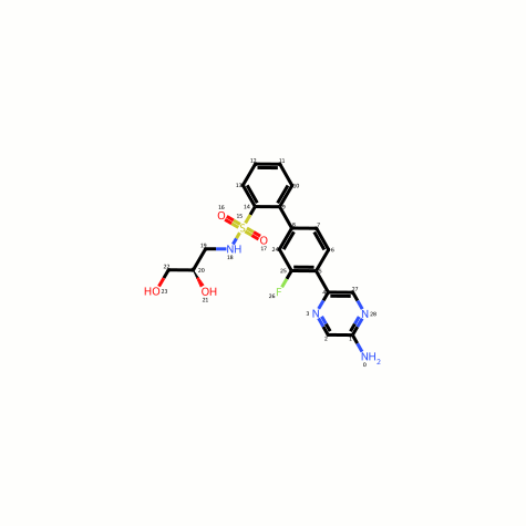 Nc1cnc(-c2ccc(-c3ccccc3S(=O)(=O)NC[C@@H](O)CO)cc2F)cn1